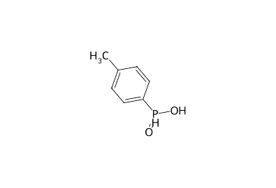 Cc1ccc([PH](=O)O)cc1